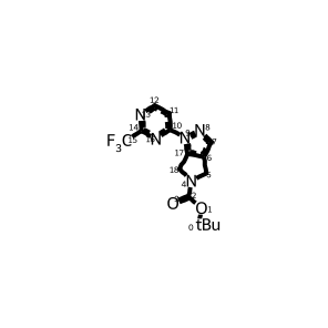 CC(C)(C)OC(=O)N1Cc2cnn(-c3ccnc(C(F)(F)F)n3)c2C1